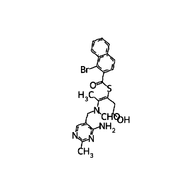 CC(=C(CCO)SC(=O)c1ccc2ccccc2c1Br)N(C=O)Cc1cnc(C)nc1N